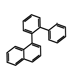 [c]1ccccc1-c1ccccc1-c1cccc2ccccc12